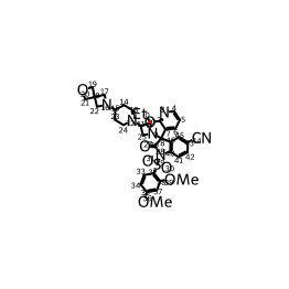 CCOc1ncccc1C1(N2CC(N3CCC(N4CC5(COC5)C4)CC3)C2)C(=O)N(S(=O)(=O)c2ccc(OC)cc2OC)c2ccc(C#N)cc21